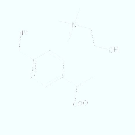 CC(C)Cc1ccc(C(C)C(=O)[O-])cc1.C[N+](C)(C)CCO